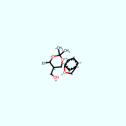 CCC1OC(C)(C)OCC1CO.c1cc2cc(c1)OC2